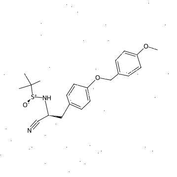 COc1ccc(COc2ccc(C[C@@H](C#N)N[S@@+]([O-])C(C)(C)C)cc2)cc1